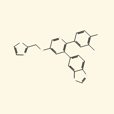 Cc1cc(-c2ncc(NCc3nccs3)cc2-c2ccc3ncsc3c2)ccc1F